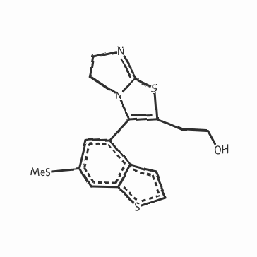 CSc1cc(C2=C(CCO)SC3=NCCN32)c2ccsc2c1